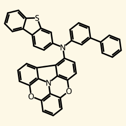 c1ccc(-c2cccc(N(c3ccc4c(c3)sc3ccccc34)c3ccc4c5c3c3cccc6c3n5-c3c(cccc3O4)O6)c2)cc1